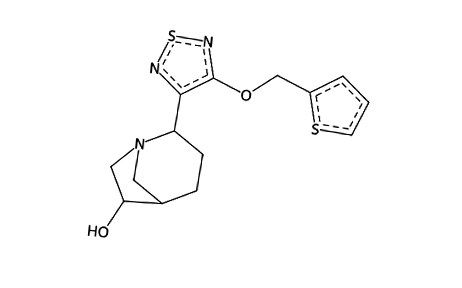 OC1CN2CC1CCC2c1nsnc1OCc1cccs1